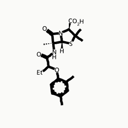 CCC(Oc1ccc(C)cc1C)C(=O)N[C@@]1(C)C(=O)N2[C@@H](C(=O)O)C(C)(C)S[C@@H]21